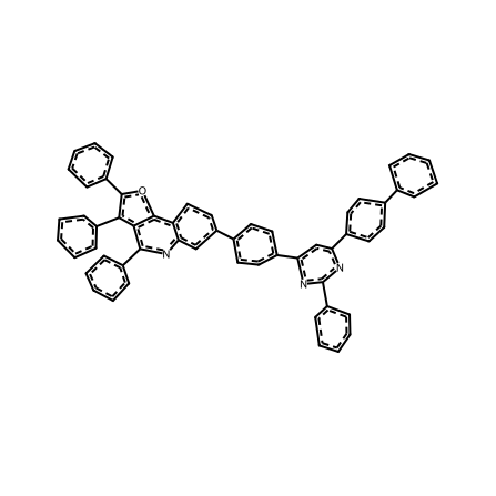 c1ccc(-c2ccc(-c3cc(-c4ccc(-c5ccc6c(c5)nc(-c5ccccc5)c5c(-c7ccccc7)c(-c7ccccc7)oc56)cc4)nc(-c4ccccc4)n3)cc2)cc1